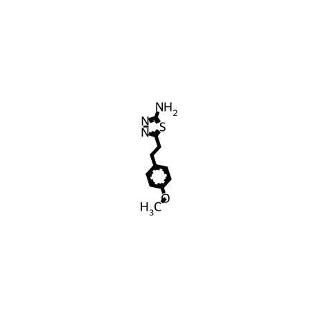 COc1ccc(CCc2nnc(N)s2)cc1